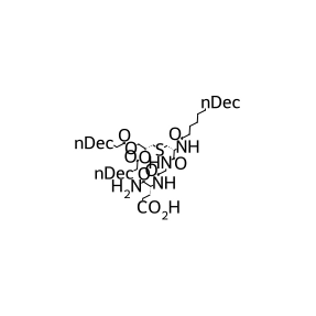 CCCCCCCCCCCCCCCC(=O)N[C@@H](CSC[C@@H](COC(=O)CCCCCCCCCCC)OC(=O)CCCCCCCCCCC)C(=O)NCC(=O)N[C@H](CCC(=O)O)C(N)=O